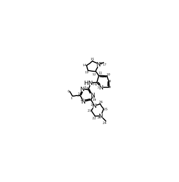 CCc1nc(Nc2ncccc2C2CCCN2C)nc(N2CCN(C)CC2)n1